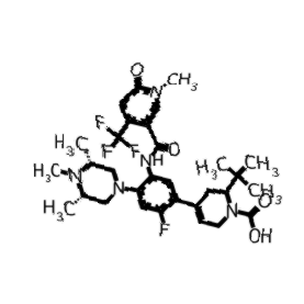 C[C@@H]1CN(c2cc(F)c(C3=CCN(C(=O)O)C(C(C)(C)C)C3)cc2NC(=O)c2cn(C)c(=O)cc2C(F)(F)F)C[C@H](C)N1C